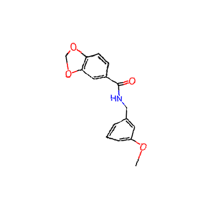 COc1cccc(CNC(=O)c2ccc3c(c2)OCO3)c1